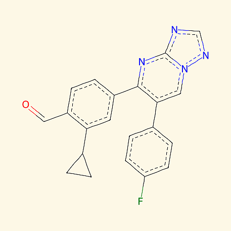 O=Cc1ccc(-c2nc3ncnn3cc2-c2ccc(F)cc2)cc1C1CC1